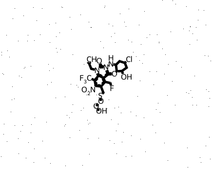 C#CCn1c(=O)n(NC2CC(O)CC(Cl)C2)c(=O)c2c(CF)c(CSOOO)c([N+](=O)[O-])c(C(F)(F)F)c21